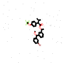 COC(c1cccc(Br)c1)c1cccc(C(C)OC(=O)C(c2ccc(OC(F)(F)F)cc2)C(C)C)c1